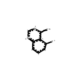 Fc1cccc2ncnc(I)c12